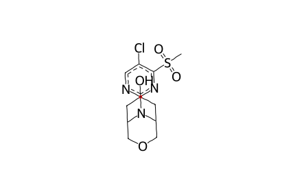 CS(=O)(=O)c1nc(N2C3COCC2CC(O)C3)ncc1Cl